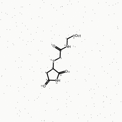 CCCCCCCCCNC(=O)CSC1CC(=O)NC1=O